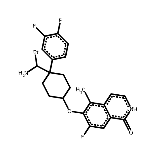 CCC(N)C1(c2ccc(F)c(F)c2)CCC(Oc2c(F)cc3c(=O)[nH]ccc3c2C)CC1